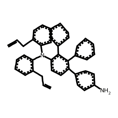 C=CCc1ccccc1N(c1ccccc1CC=C)c1ccc(-c2ccc(N)cc2)c(-c2ccccc2)c1-c1ccccc1